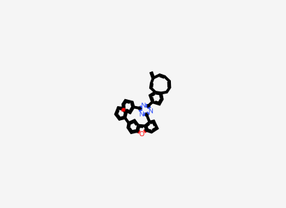 C=C1/C=C\C=C/Cc2ccc(-c3nc(-c4ccccc4)nc(-c4cccc5oc6ccc(-c7ccccc7)cc6c45)n3)cc2/C=C\1